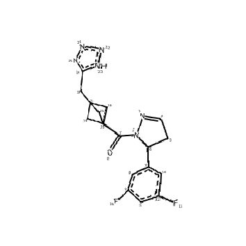 O=C(N1N=CCC1c1cc(F)cc(F)c1)C12CC(Cc3nnn[nH]3)(C1)C2